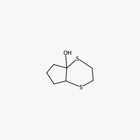 OC12CCCC1SCCS2